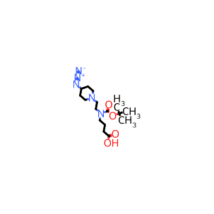 CC(C)(C)OC(=O)N(CCCC(=O)O)CCN1CCC(N=[N+]=[N-])CC1